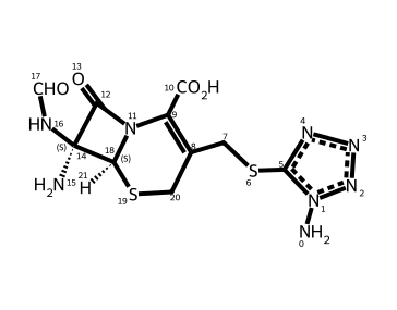 Nn1nnnc1SCC1=C(C(=O)O)N2C(=O)[C@](N)(NC=O)[C@@H]2SC1